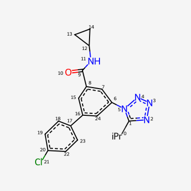 CC(C)c1nnnn1-c1cc(C(=O)NC2CC2)cc(-c2ccc(Cl)cc2)c1